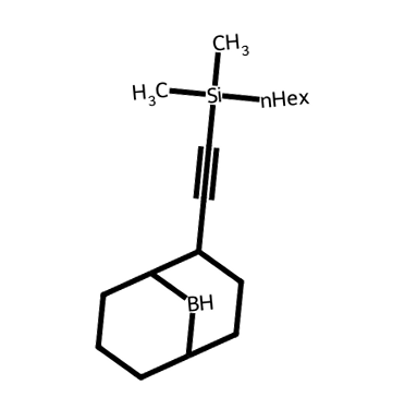 CCCCCC[Si](C)(C)C#CC1CCC2BC1CCC2